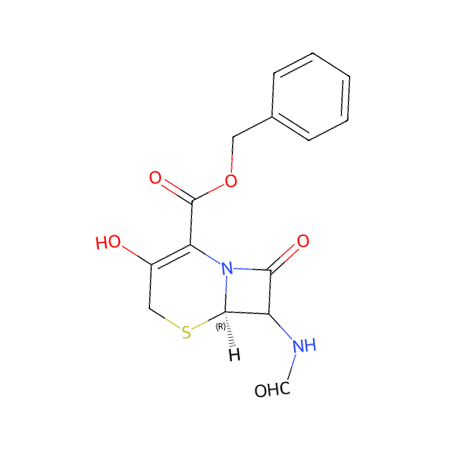 O=CNC1C(=O)N2C(C(=O)OCc3ccccc3)=C(O)CS[C@H]12